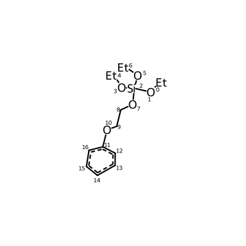 CCO[Si](OCC)(OCC)OCCOc1ccccc1